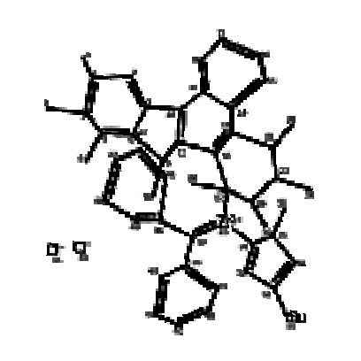 Cc1cc2c(c(C)c1C)C(C)c1c3c(c4ccccc4c1-2)C(C)C(C)C(C)[C]3(C)[Zr+2]([C]1=CC(C(C)(C)C)=CC1C)=[C](c1ccccc1)c1ccccc1.[Cl-].[Cl-]